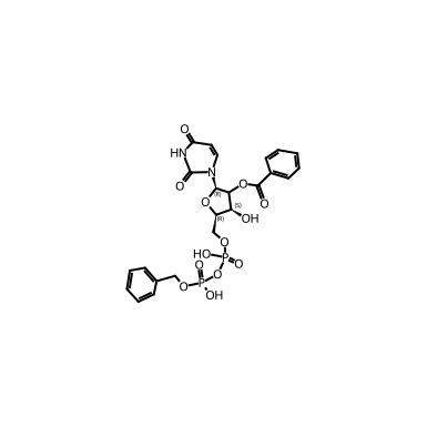 O=C(OC1[C@@H](O)[C@@H](COP(=O)(O)OP(=O)(O)OCc2ccccc2)O[C@H]1n1ccc(=O)[nH]c1=O)c1ccccc1